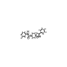 Cc1cccc(NC(=O)N2CCC3(CC2)CC(c2ccccc2)=NO3)c1